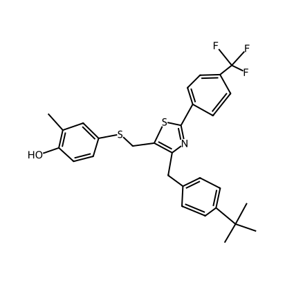 Cc1cc(SCc2sc(-c3ccc(C(F)(F)F)cc3)nc2Cc2ccc(C(C)(C)C)cc2)ccc1O